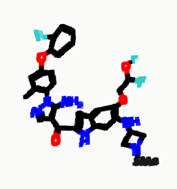 CSN1CC(Nc2cc3[nH]c(C(=O)c4cnn(-c5ccc(OC6C=CC=CC6F)cc5C)c4N)cc3cc2OCC(F)OF)C1